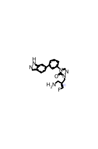 NC/C(=C\F)Cn1ncn(-c2cccc(-c3ccc4cn[nH]c4c3)c2)c1=O